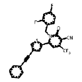 N#Cc1c(C(F)(F)F)cc(-c2cc(C#Cc3ccccc3)cs2)n(Cc2ccc(F)cc2F)c1=O